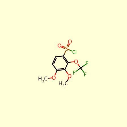 COc1ccc(S(=O)(=O)Cl)c(OC(F)(F)F)c1OC